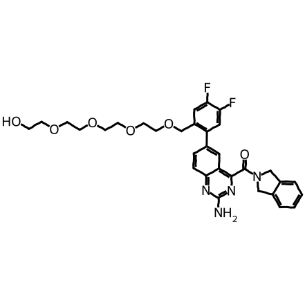 Nc1nc(C(=O)N2Cc3ccccc3C2)c2cc(-c3cc(F)c(F)cc3COCCOCCOCCOCCO)ccc2n1